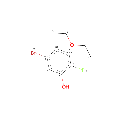 CCOCC.Oc1cc(Br)ccc1F